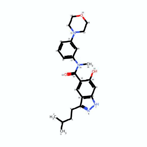 CC(C)CCc1n[nH]c2cc(O)c(C(=O)N(C)c3cccc(N4CCOCC4)c3)cc12